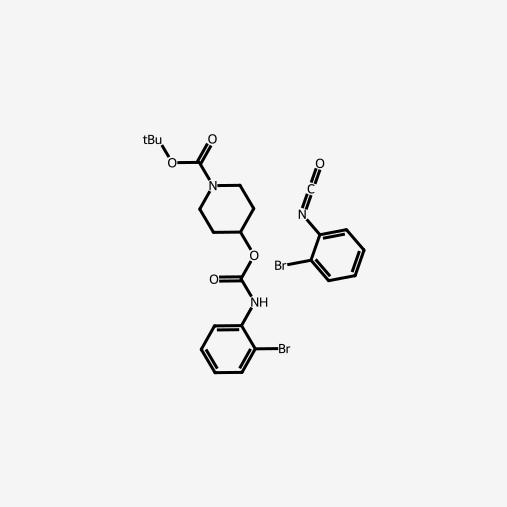 CC(C)(C)OC(=O)N1CCC(OC(=O)Nc2ccccc2Br)CC1.O=C=Nc1ccccc1Br